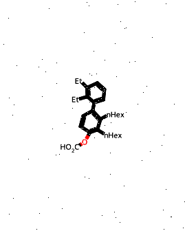 CCCCCCc1c(OC(=O)O)ccc(-c2cccc(CC)c2CC)c1CCCCCC